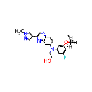 [2H]C([2H])([2H])Oc1cc(F)cc(N(CCO)c2ccc3ncc(-c4cnn(C)c4)nc3c2)c1